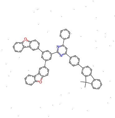 CC1(C)c2ccccc2-c2ccc(-c3ccc(-c4cc(-c5ccccc5)nc(-c5cc(-c6ccc7oc8ccccc8c7c6)cc(-c6ccc7oc8ccccc8c7c6)c5)n4)cc3)cc21